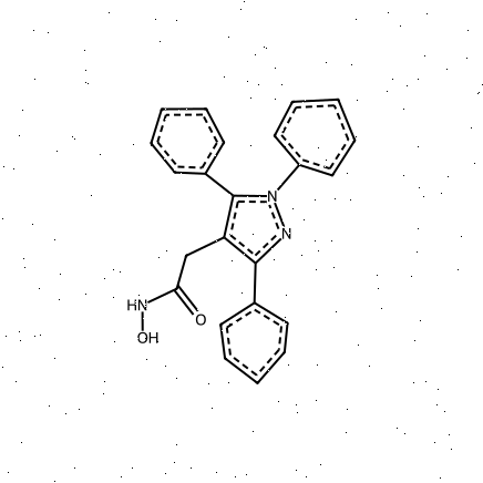 O=C(Cc1c(-c2ccccc2)nn(-c2ccccc2)c1-c1ccccc1)NO